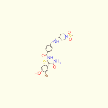 CS(=O)(=O)N1CCC(CNCc2ccc(C(=O)Nc3sc4cc(O)c(Br)cc4c3C(N)=O)cc2)CC1